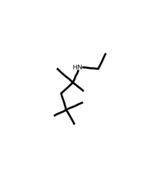 CCNC(C)(C)CC(C)(C)C